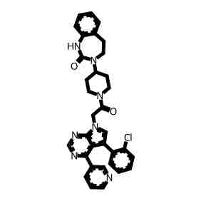 O=C(Cn1cc(-c2ccccc2Cl)c2c(-c3cccnc3)ncnc21)N1CCC(N2CCc3ccccc3NC2=O)CC1